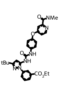 CCOC(=O)c1cccc(-n2nc(C(C)(C)C)cc2NC(=O)Nc2ccc(Oc3ccnc(C(=O)NC)c3)cc2)c1